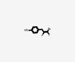 CCCc1ccc(CC(F)=C(F)Br)cc1